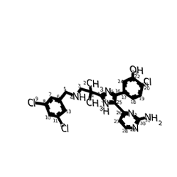 CC(C)(CNCc1cc(Cl)cc(Cl)c1)c1nc(-c2ccc(Cl)c(O)c2)c(-c2ccnc(N)n2)[nH]1